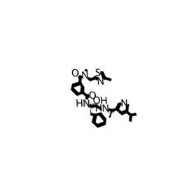 Cc1csc(CN(C)C(=O)c2cccc(C(=O)N[C@@H](Cc3ccccc3)[C@H](O)CN[C@H](C)c3cncc(C(C)C)c3)c2)n1